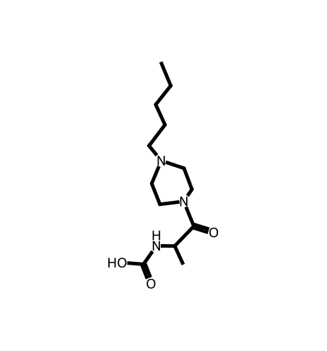 CCCCCN1CCN(C(=O)C(C)NC(=O)O)CC1